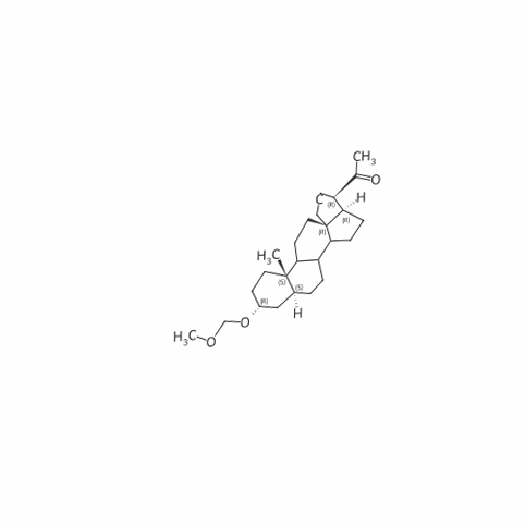 COCO[C@@H]1CC[C@]2(C)C3CC[C@@]45CCC[C@@H](C(C)=O)[C@H]4CCC5C3CC[C@H]2C1